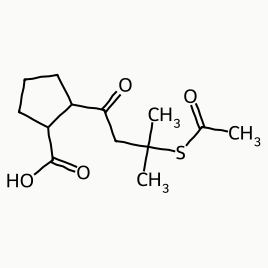 CC(=O)SC(C)(C)CC(=O)C1CCCC1C(=O)O